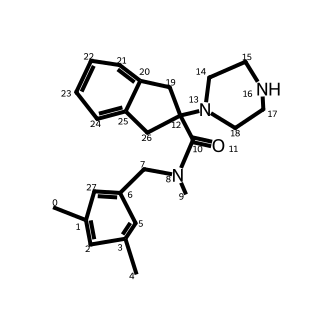 Cc1cc(C)cc(CN(C)C(=O)C2(N3CCNCC3)Cc3ccccc3C2)c1